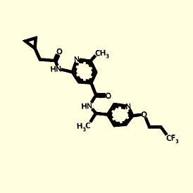 Cc1cc(C(=O)NC(C)c2ccc(OCCC(F)(F)F)nc2)cc(NC(=O)CC2CC2)n1